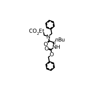 CCCC[C@H](NC(=O)OCc1ccccc1)C(=O)N(CC(=O)OCC)Cc1ccccc1